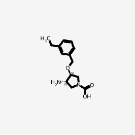 CCc1cccc(CO[C@H]2CN(C(=O)O)C[C@@H]2N)c1